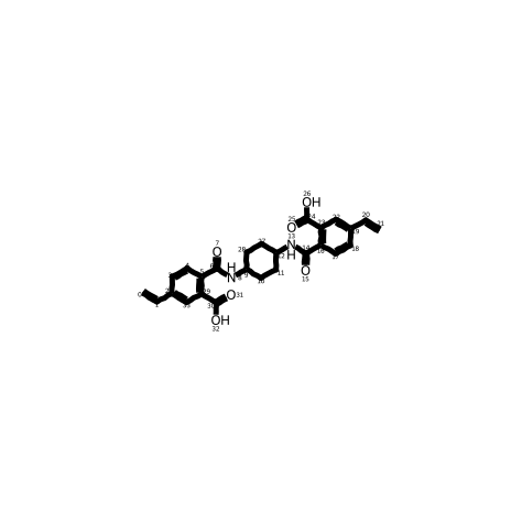 C=Cc1ccc(C(=O)NC2CCC(NC(=O)c3ccc(C=C)cc3C(=O)O)CC2)c(C(=O)O)c1